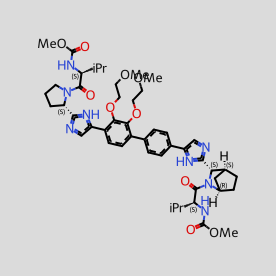 COCCOc1c(-c2ccc(-c3cnc([C@@H]4[C@H]5CC[C@H](C5)N4C(=O)[C@@H](NC(=O)OC)C(C)C)[nH]3)cc2)ccc(-c2cnc([C@@H]3CCCN3C(=O)[C@@H](NC(=O)OC)C(C)C)[nH]2)c1OCCOC